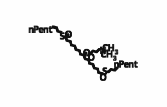 CCCCC/C=C\CCSC(=O)CCCCCCCC(CCCCCCCC(=O)SCC/C=C\CCCCC)OC(=O)CCCN(C)C